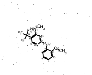 CNc1nc(Nc2cc[c]cc2OC)ncc1C(F)(F)F